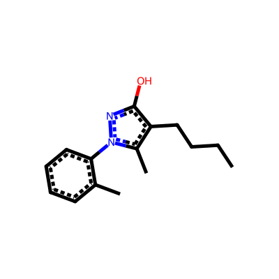 CCCCc1c(O)nn(-c2ccccc2C)c1C